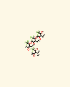 CCC(C(C)=O)C(=O)C(F)(F)F.CCC(C(C)=O)C(=O)C(F)(F)F.CCC(C(C)=O)C(=O)C(F)(F)F.CCC(C(C)=O)C(=O)C(F)(F)F.[Zr]